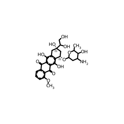 COc1cccc2c1C(=O)c1c(O)c3c(c(O)c1C2=O)C[C@@](O)(C(O)CO)C[C@@H]3OC1CC(N)C(O)C(C)O1